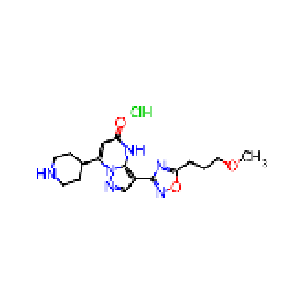 COCCCc1nc(-c2cnn3c(C4CCNCC4)cc(=O)[nH]c23)no1.Cl